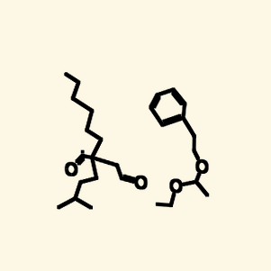 CCCCCCC([C]=O)(CC=O)CCC(C)C.CCOC(C)OCCc1ccccc1